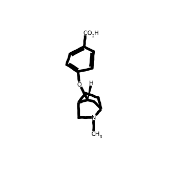 CN1CC2CCC1C[C@H]2Oc1ccc(C(=O)O)cc1